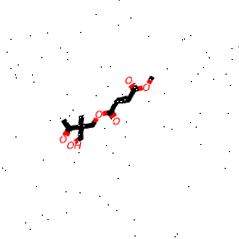 COC(=O)/C=C/C(=O)OCC(C)(CO)C(C)=O